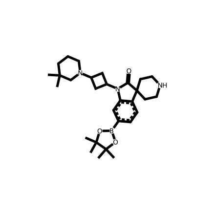 CC1(C)CCCN(C2CC(N3C(=O)C4(CCNCC4)c4ccc(B5OC(C)(C)C(C)(C)O5)cc43)C2)C1